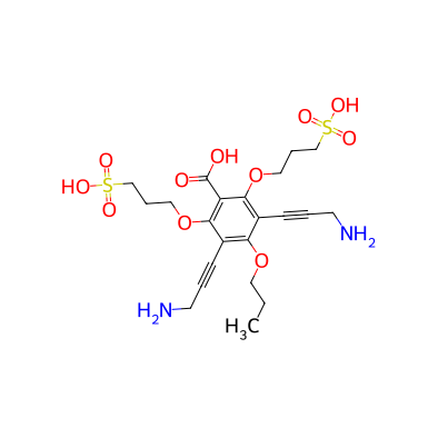 CCCOc1c(C#CCN)c(OCCCS(=O)(=O)O)c(C(=O)O)c(OCCCS(=O)(=O)O)c1C#CCN